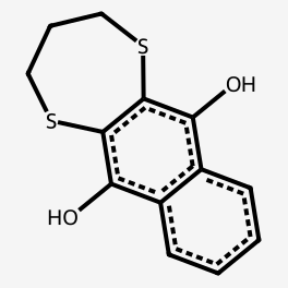 Oc1c2c(c(O)c3ccccc13)SCCCS2